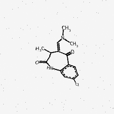 CC1C(=O)Nc2cc(Cl)ccc2C(=O)C1=CN(C)C